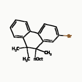 CCCCCCCCC1(C)c2cc(Br)ccc2-c2ccccc2C1(C)C